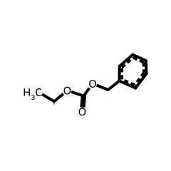 C[CH]OC(=O)OCc1ccccc1